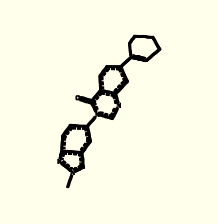 Cn1cc2cc(-n3cnc4cc(C5=CCCCC5)ccc4c3=O)ccc2n1